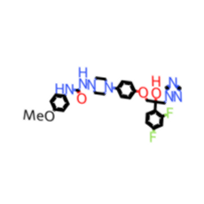 COc1ccc(NC(=O)NN2CCN(c3ccc(OCC(O)(Cn4cncn4)c4ccc(F)cc4F)cc3)CC2)cc1